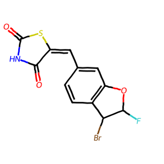 O=C1NC(=O)/C(=C\c2ccc3c(c2)OC(F)C3Br)S1